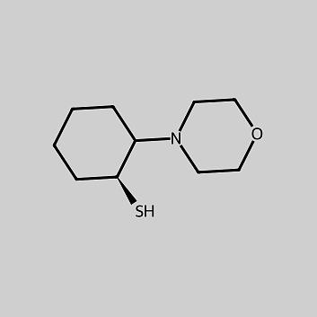 S[C@H]1CCCCC1N1CCOCC1